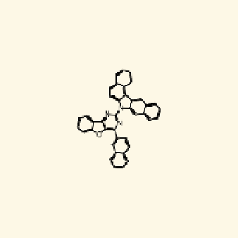 c1ccc2cc(-c3nc(-n4c5cc6ccccc6cc5c5c6ccccc6ccc54)nc4c3oc3ccccc34)ccc2c1